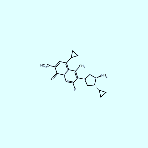 Cc1c(N2C[C@@H](N)[C@H](C3CC3)C2)c(F)cn2c(=O)c(C(=O)O)cc(C3CC3)c12